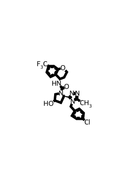 Cc1nnc([C@H]2CC(O)CN2C(=O)N[C@H]2CCOc3cc(C(F)(F)F)ccc32)n1Cc1ccc(Cl)cc1